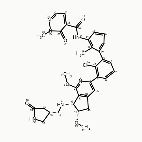 COc1nc(-c2cccc(-c3cccc(NC(=O)c4ccnn(C)c4=O)c3C)c2Cl)cc2c1[C@@H](NC[C@@H]1CNC(=O)C1)[C@@H](OC)C2